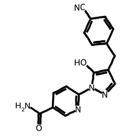 N#Cc1ccc(Cc2cnn(-c3ccc(C(N)=O)cn3)c2O)cc1